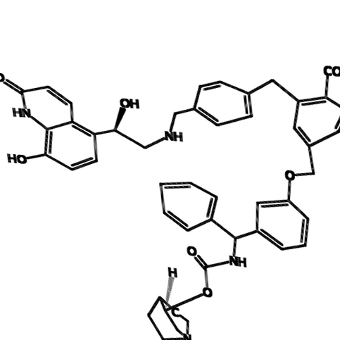 O=C(NC(c1ccccc1)c1cccc(OCc2ccc(C(=O)O)c(Cc3ccc(CNC[C@H](O)c4ccc(O)c5[nH]c(=O)ccc45)cc3)c2)c1)O[C@H]1CN2CCC1CC2